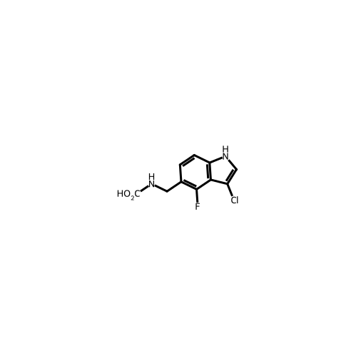 O=C(O)NCc1ccc2[nH]cc(Cl)c2c1F